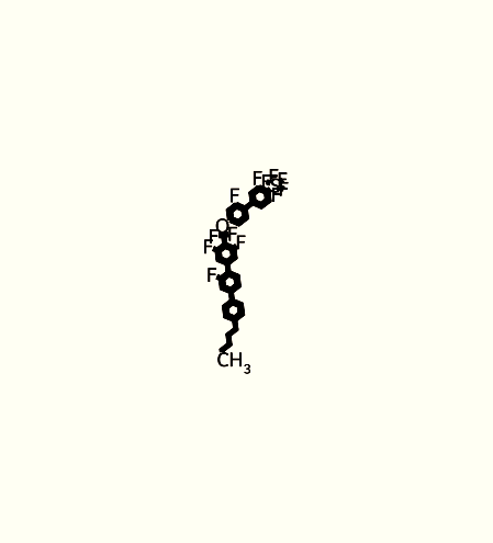 CCCCCc1ccc(-c2ccc(-c3cc(F)c(C(F)(F)Oc4ccc(-c5ccc(S(F)(F)(F)(F)F)c(F)c5)c(F)c4)c(F)c3)c(F)c2)cc1